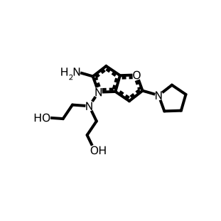 Nc1cc2oc(N3CCCC3)cc2n1N(CCO)CCO